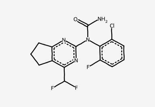 NC(=O)N(c1nc2c(c(C(F)F)n1)CCC2)c1c(F)cccc1Cl